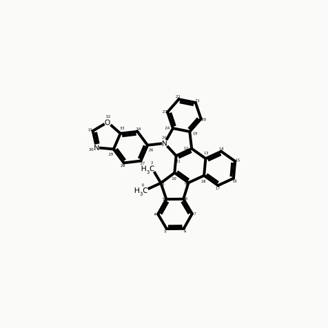 CC1(C)c2ccccc2-c2c1c1c(c3ccccc23)c2ccccc2n1-c1ccc2ncoc2c1